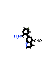 Cc1ccnc2c1C(C=O)CC(c1cc(F)ccc1CN)C2